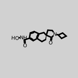 O=C(NO)c1ccc2c(c1)CC[C@]1(CCN(C3CCC3)C1=O)C2